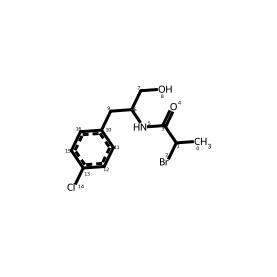 CC(Br)C(=O)NC(CO)Cc1ccc(Cl)cc1